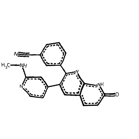 CNc1cc(-c2cc3ccc(=O)[nH]c3nc2-c2cccc(C#N)c2)ccn1